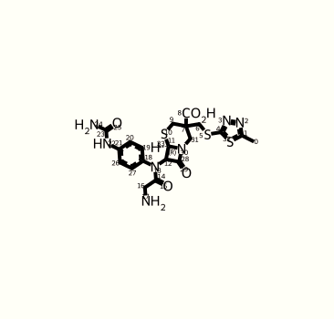 Cc1nnc(SCC2(C(=O)O)CS[C@@H]3C(N(C(=O)CN)c4ccc(NC(N)=O)cc4)C(=O)N3C2)s1